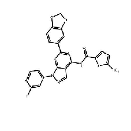 O=C(Nc1nc(-c2ccc3c(c2)OCO3)nc2c1cnn2-c1cccc(F)c1)c1ccc([N+](=O)[O-])s1